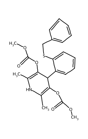 COC(=O)OC1=C(C)NC(C)=C(OC(=O)OC)C1c1ccccc1SCc1ccccc1